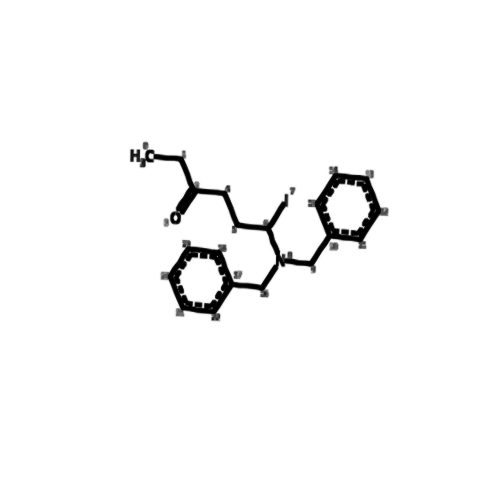 CCC(=O)CCC(I)N(Cc1ccccc1)Cc1ccccc1